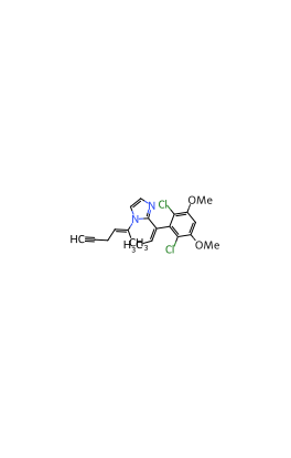 C#CC/C=C(\C)n1ccnc1/C(=C\C)c1c(Cl)c(OC)cc(OC)c1Cl